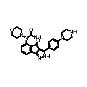 NC(=O)N(c1cccc2c1C(=O)c1c-2n[nH]c1-c1ccc(N2CCNCC2)cc1)N1CCOCC1